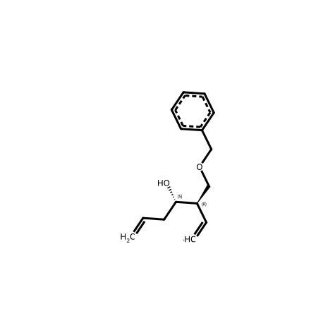 [CH]=C[C@H](COCc1ccccc1)[C@@H](O)CC=C